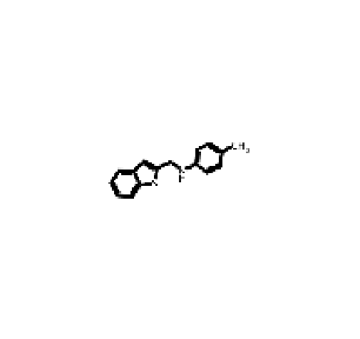 Cc1ccc(NCc2cc3ccccc3s2)cc1